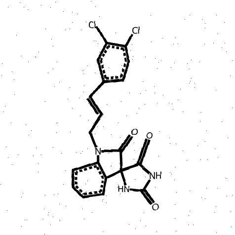 O=C1NC(=O)C2(N1)C(=O)N(C/C=C/c1ccc(Cl)c(Cl)c1)c1ccccc12